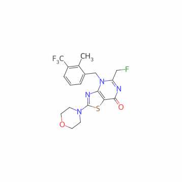 Cc1c(Cn2c(CF)nc(=O)c3sc(N4CCOCC4)nc32)cccc1C(F)(F)F